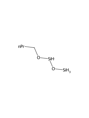 CCCCO[SiH]O[SiH3]